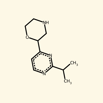 CC(C)c1nccc(C2CNCCO2)n1